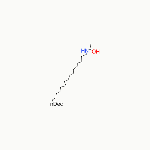 CCCCCCCCCCCCCCCCCCCCCCCCCCNC(C)O